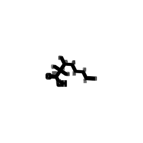 C=CCCCC(C)C(C)(C)C(=O)O